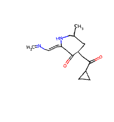 C=N/C=C1\NC(C)CC(C(=O)C2CC2)C1=O